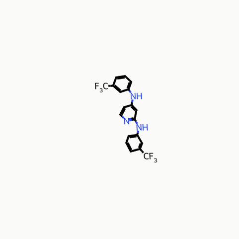 FC(F)(F)c1cccc(Nc2ccnc(Nc3cccc(C(F)(F)F)c3)c2)c1